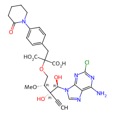 C#C[C@@](O)([C@@H](COC(Cc1ccc(N2CCCCC2=O)cc1)(C(=O)O)C(=O)O)OC)[C@@H](O)n1cnc2c(N)nc(Cl)nc21